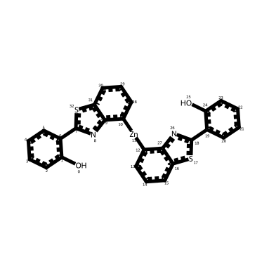 Oc1ccccc1-c1nc2[c]([Zn][c]3cccc4sc(-c5ccccc5O)nc34)cccc2s1